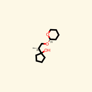 C[C@H](CO[C@H]1CCCCO1)C1(O)CCCC1